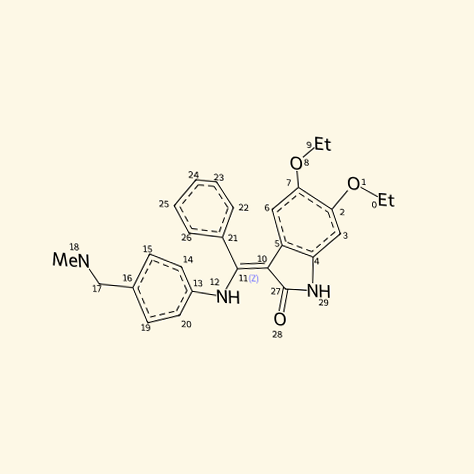 CCOc1cc2c(cc1OCC)/C(=C(/Nc1ccc(CNC)cc1)c1ccccc1)C(=O)N2